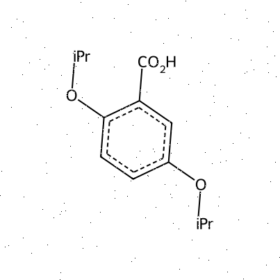 CC(C)Oc1ccc(OC(C)C)c(C(=O)O)c1